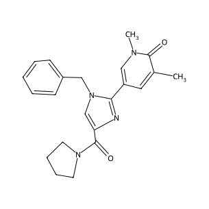 Cc1cc(-c2nc(C(=O)N3CCCC3)cn2Cc2ccccc2)cn(C)c1=O